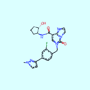 Cn1ccc(-c2ccc(Cn3cc(C(=O)N[C@H]4CCC[C@@H]4O)c4nccn4c3=O)c(F)c2)n1